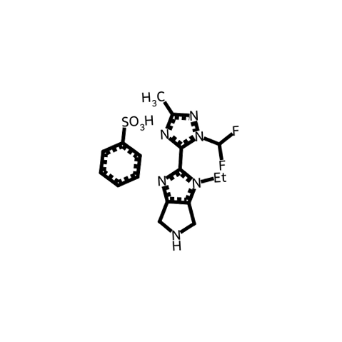 CCn1c(-c2nc(C)nn2C(F)F)nc2c1CNC2.O=S(=O)(O)c1ccccc1